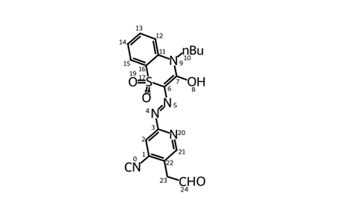 [C-]#[N+]c1cc(N=NC2=C(O)N(CCCC)c3ccccc3S2(=O)=O)ncc1CC=O